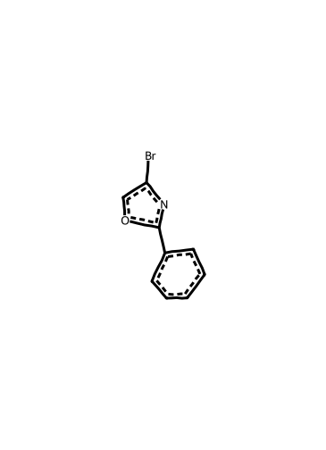 Brc1coc(-c2ccccc2)n1